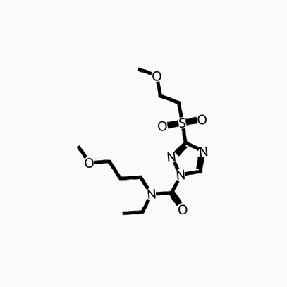 CCN(CCCOC)C(=O)n1cnc(S(=O)(=O)CCOC)n1